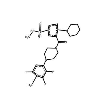 CNS(=O)(=O)c1ccc(N2CCCCC2)c(C(=O)N2CCN(c3cc(F)c(C)c(F)c3F)CC2)c1